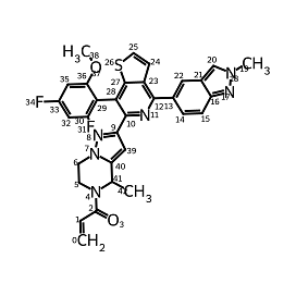 C=CC(=O)N1CCn2nc(-c3nc(-c4ccc5nn(C)cc5c4)c4ccsc4c3-c3c(F)cc(F)cc3OC)cc2C1C